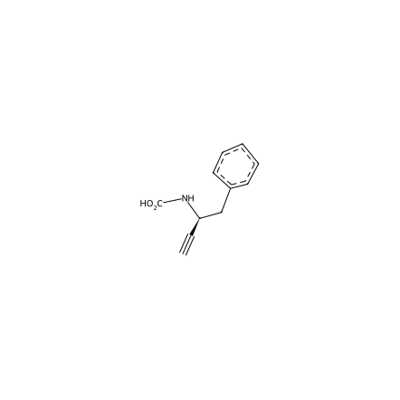 C#C[C@H](Cc1ccccc1)NC(=O)O